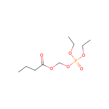 CCCC(=O)OCOP(=O)(OCC)OCC